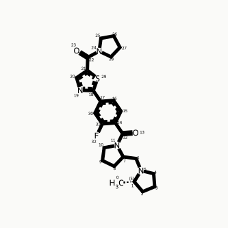 C[C@H]1CCCN1CC1CCCN1C(=O)c1ccc(-c2ncc(C(=O)N3CCCC3)s2)cc1F